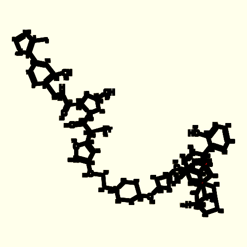 Cc1ncsc1-c1ccc(CNC(=O)[C@@H]2C[C@@H](O)CN2C(=O)[C@H](c2cc(OCCN3CCC(OC4CC(Oc5cc(N6C7CC[C@@H]6CN(c6cc(-c8ccccc8O)nnc6N)C7)ccn5)C4)CC3)no2)C(C)C)c(C#N)c1